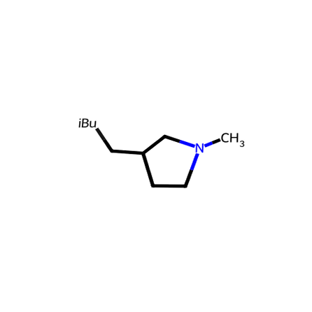 CCC(C)CC1CCN(C)C1